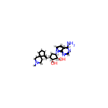 CN1CCC2(CCC/C2=C\[C@H]2C[C@@H](n3ccc4c(N)ncnc43)[C@H](O)[C@@H]2O)CC1